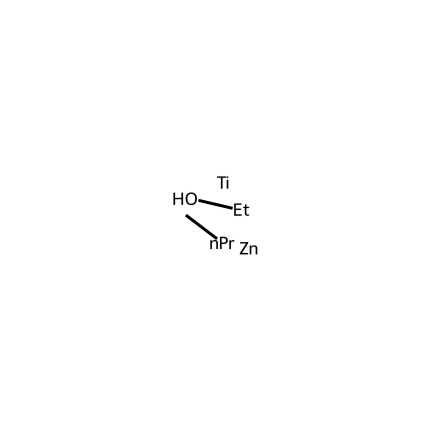 CCCC.CCO.[Ti].[Zn]